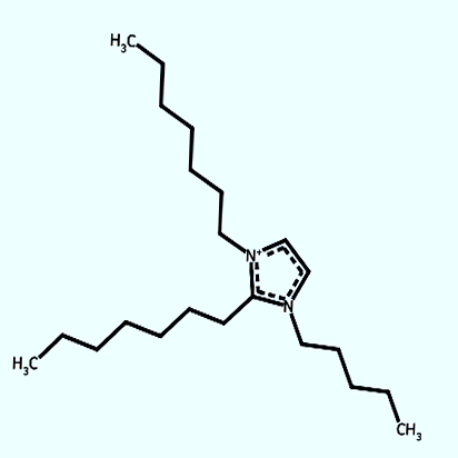 CCCCCCCc1n(CCCCC)cc[n+]1CCCCCCC